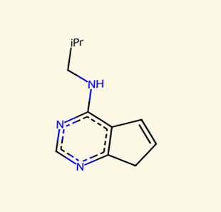 CC(C)CNc1ncnc2c1C=CC2